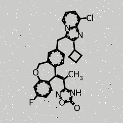 CC(=C1c2ccc(Cc3c(C4CCC4)nc4c(Cl)cccn34)cc2COc2cc(F)ccc21)c1noc(=O)[nH]1